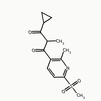 Cc1nc(S(C)(=O)=O)ccc1C(=O)C(C)C(=O)C1CC1